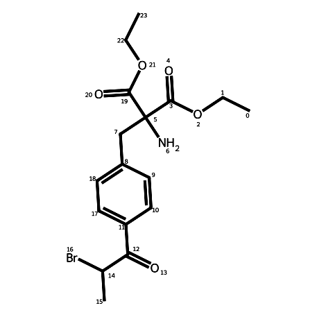 CCOC(=O)C(N)(Cc1ccc(C(=O)C(C)Br)cc1)C(=O)OCC